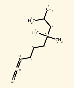 CC(C)[CH][Si](C)(C)CCCN=C=O